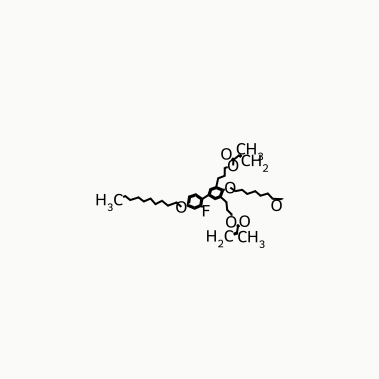 C=C(C)C(=O)OCCCc1cc(-c2ccc(OCCCCCCCCCC)cc2F)cc(CCCOC(=O)C(=C)C)c1OCCCCCCC1CO1